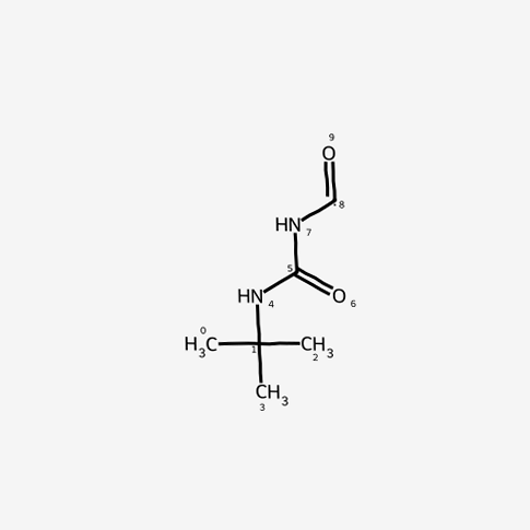 CC(C)(C)NC(=O)N[C]=O